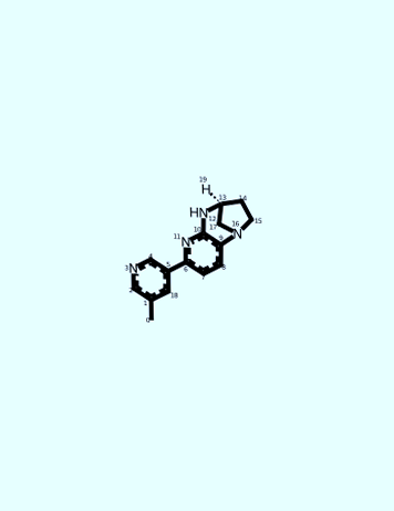 Cc1cncc(-c2ccc3c(n2)N[C@H]2CCN3C2)c1